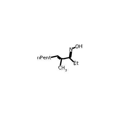 CCCCC/C=C(\C)C(CC)=NO